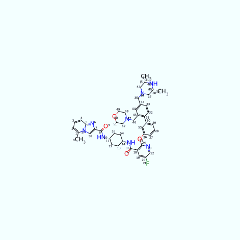 Cc1cccc2nc(C(=O)N[C@H]3CC[C@@H](NC(=O)c4cc(F)cnc4Oc4cccc(-c5ccc(CN6C[C@@H](C)N[C@@H](C)C6)cc5CN5CCOCC5)c4)CC3)cn12